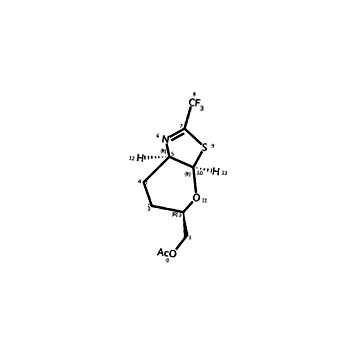 CC(=O)OC[C@H]1[C][C][C@H]2N=C(C(F)(F)F)S[C@H]2O1